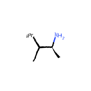 CC(C)C(C)[C@H](C)N